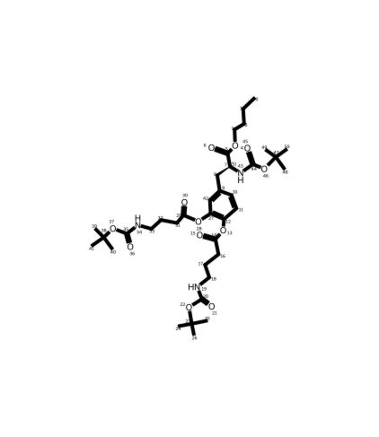 CCCCOC(=O)[C@H](Cc1ccc(OC(=O)CCCNC(=O)OC(C)(C)C)c(OC(=O)CCCNC(=O)OC(C)(C)C)c1)NC(=O)OC(C)(C)C